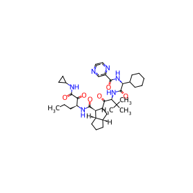 CCC[C@H](NC(=O)[C@H]1C(C(=O)[C@@H](NC(=O)[C@@H](NC(=O)c2cnccn2)C2CCCCC2)C(C)(C)C)C[C@@H]2CCC[C@@H]21)C(=O)C(=O)NC1CC1